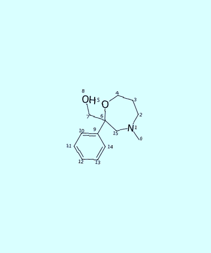 CN1CCCOC(CO)(c2ccccc2)C1